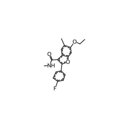 CCOc1cc2oc(-c3ccc(F)cc3)c(C(=O)NC)c2cc1C